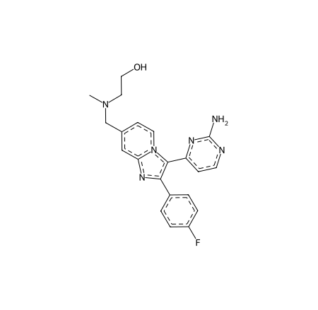 CN(CCO)Cc1ccn2c(-c3ccnc(N)n3)c(-c3ccc(F)cc3)nc2c1